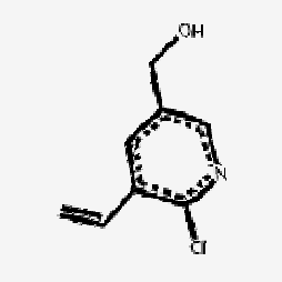 C=Cc1cc(CO)cnc1Cl